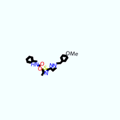 COc1ccc(CCn2ccc(-c3nc(C)c(OC(=O)NCc4ccccc4)s3)n2)cc1